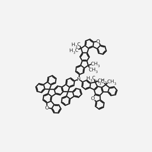 CC1(C)c2cc(N(c3ccc4c(c3)C(C)(C)c3c5c(c6c(oc7ccccc76)c3-4)-c3ccccc3C5(C)C)c3ccc4c(c3)C3(c5ccccc5-c5ccccc53)c3cc5c(cc3-4)C3(c4ccccc4-c4ccccc43)c3ccc4oc6ccccc6c4c3-5)ccc2-c2cc3c(cc21)-c1c(ccc2oc4ccccc4c12)C3(C)C